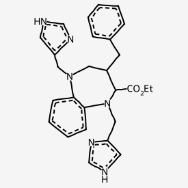 CCOC(=O)C1C(Cc2ccccc2)CN(Cc2c[nH]cn2)c2ccccc2N1Cc1c[nH]cn1